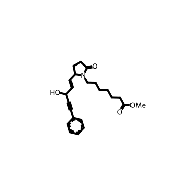 COC(=O)CCCCCCN1C(=O)CCC1C=CC(O)C#Cc1ccccc1